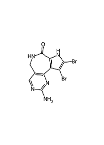 Nc1ncc2c(n1)-c1c([nH]c(Br)c1Br)C(=O)NC2